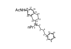 CCCN(CCCCc1ccccc1)C1CCc2ccc(NC(C)=O)cc2C1